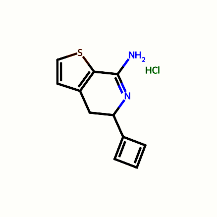 Cl.NC1=NC(C2=CC=C2)Cc2ccsc21